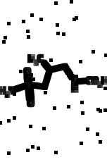 CC(CNC(=O)O)CS(N)(=O)=O